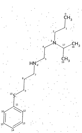 CCCN(CCNCCCSc1ccccc1)C(C)C